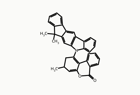 CC1C=c2oc(=O)c3ccccc3c2=C(n2c3ccccc3c3cc4c(cc32)C(C)(C)c2ccccc2-4)C1